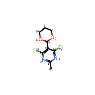 Cc1nc(Cl)c(C2OCCCO2)c(Cl)n1